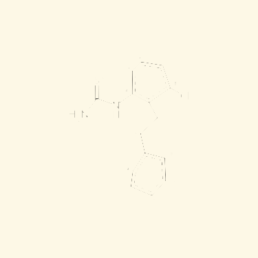 NC(=S)Nc1cccc(Cl)c1CCc1ccccc1